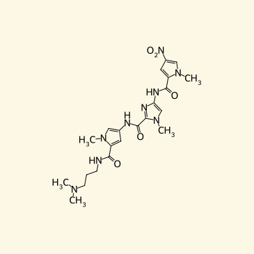 CN(C)CCCNC(=O)c1cc(NC(=O)c2nc(NC(=O)c3cc([N+](=O)[O-])cn3C)cn2C)cn1C